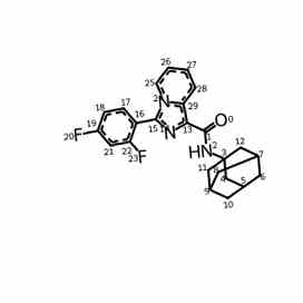 O=C(NC12CC3CC(CC(C3)C1)C2)c1nc(-c2ccc(F)cc2F)n2ccccc12